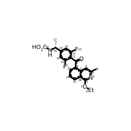 CCOc1nc(C)cc2c(C(=O)c3c(F)cc([C@@H](C)NC(=O)O)cc3F)cccc12